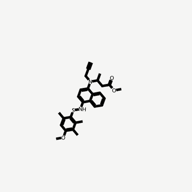 C#CCN(c1ccc(NSc2c(C)cc(OC)c(C)c2C)c2ccccc12)C(C)CC(=O)OC